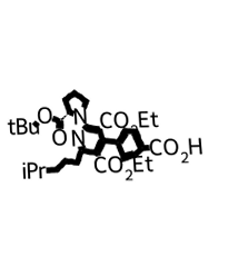 CCOC(=O)c1c(CCCC(C)C)nc(N2CCC[C@H]2C(=O)OC(C)(C)C)c(C(=O)OCC)c1-c1ccc(C(=O)O)cc1